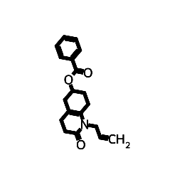 C=CCN1C(=O)CCC2=C1CCC(OC(=O)c1ccccc1)C2